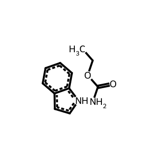 CCOC(N)=O.c1ccc2[nH]ccc2c1